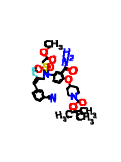 CCOC(=O)CS(=O)(=O)N(C/C(F)=C\c1cccc(C#N)c1)c1ccc(OC2CCN(C(=O)OC(C)(C)C)CC2)c(C(N)=O)c1